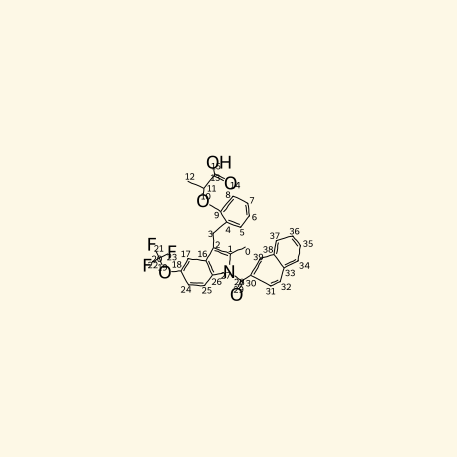 Cc1c(Cc2ccccc2OC(C)C(=O)O)c2cc(OC(F)(F)F)ccc2n1C(=O)c1ccc2ccccc2c1